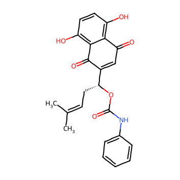 CC(C)=CC[C@@H](OC(=O)Nc1ccccc1)C1=CC(=O)c2c(O)ccc(O)c2C1=O